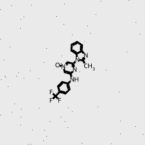 Cc1nc2ccccc2n1-c1c[n+]([O-])cc(Nc2ccc(C(F)(F)F)cc2)n1